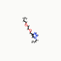 CC(C)CCOCCOCc1cn(CC(C)C)nn1